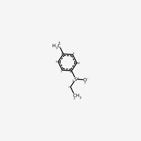 CC[S+]([O-])c1ccc(C)cc1